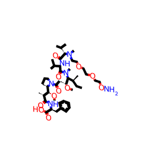 CC[C@H](C)C([C@@H](CC(=O)N1CCC[C@H]1[C@H](OC)[C@@H](C)C(=O)N[C@@H](Cc1ccccc1)C(=O)O)OC)N(C)C(=O)[C@@H](NC(=O)[C@H](C(C)C)N(C)CCOCCOCCON)C(C)C